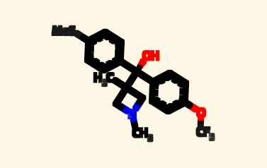 CSc1ccc([C@](O)(c2ccc(OC(F)(F)F)cc2)C2(C)CN(C)C2)cc1